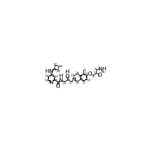 Cc1c(OCC2CNCO2)ccc2c1CCN(C[C@@H](O)CNC(=O)c1cc(NC3CCC3)ccn1)C2